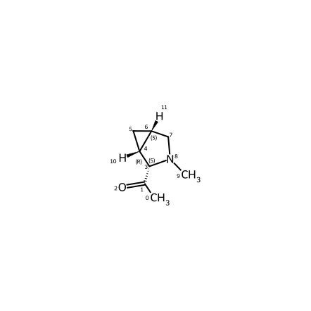 CC(=O)[C@@H]1[C@@H]2C[C@@H]2CN1C